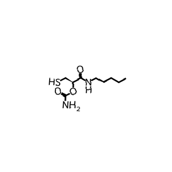 CCCCCNC(=O)[C@H](CS)OC(N)=O